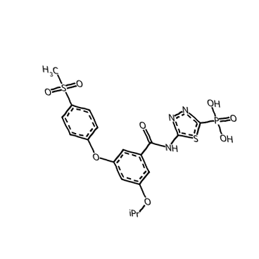 CC(C)Oc1cc(Oc2ccc(S(C)(=O)=O)cc2)cc(C(=O)Nc2nnc(P(=O)(O)O)s2)c1